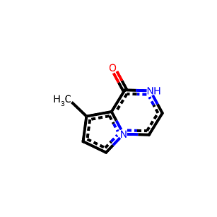 Cc1ccn2cc[nH]c(=O)c12